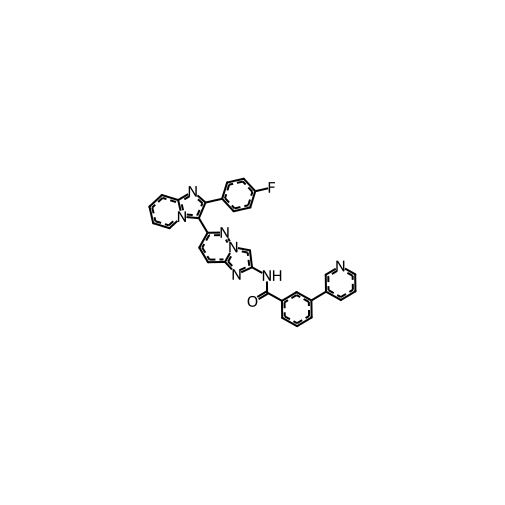 O=C(Nc1cn2nc(-c3c(-c4ccc(F)cc4)nc4ccccn34)ccc2n1)c1cccc(-c2cccnc2)c1